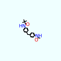 CC(=O)Nc1ccc(Cc2ccc(NC(=O)C(C)(C)C)cc2)cc1